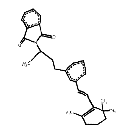 CC1=C(/C=C/c2cccc(CCC(C)N3C(=O)c4ccccc4C3=O)c2)C(C)(C)CCC1